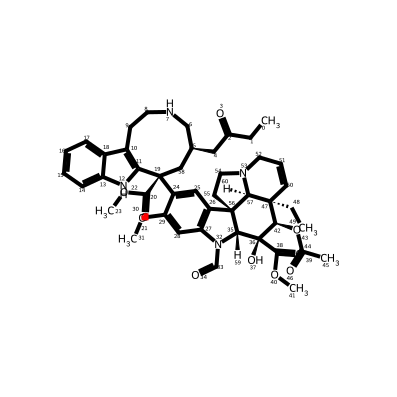 CCC(=O)C[C@@H]1CNCCc2c([nH]c3ccccc23)[C@@](C(=O)OC)(c2cc3c(cc2OC)N(C=O)[C@H]2[C@@](O)(C(=O)OC)[C@H](OC(C)=O)[C@]4(CC)C=CCN5CC[C@]32[C@@H]54)C1